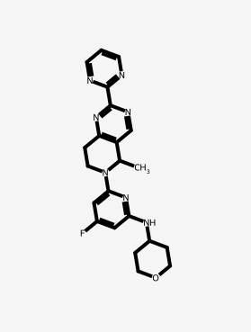 CC1c2cnc(-c3ncccn3)nc2CCN1c1cc(F)cc(NC2CCOCC2)n1